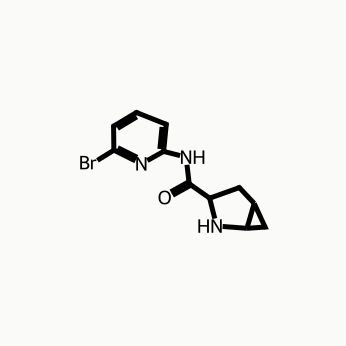 O=C(Nc1cccc(Br)n1)C1CC2CC2N1